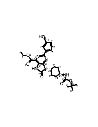 CCOC(=O)c1nc(-c2cccc(O)c2)nc2c1[nH]c(=O)n2[C@H]1CC[C@H](NC(=O)OC(C)(C)C)CC1